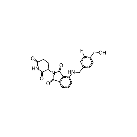 O=C1CCC(N2C(=O)c3cccc(NCc4ccc(CO)c(F)c4)c3C2=O)C(=O)N1